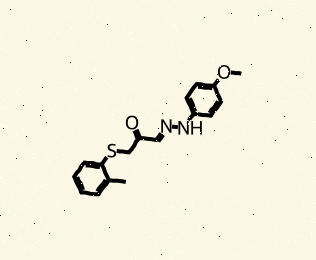 COc1ccc(NN=CC(=O)CSc2ccccc2C)cc1